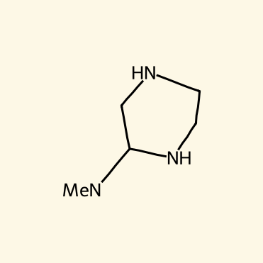 CNC1CNCCN1